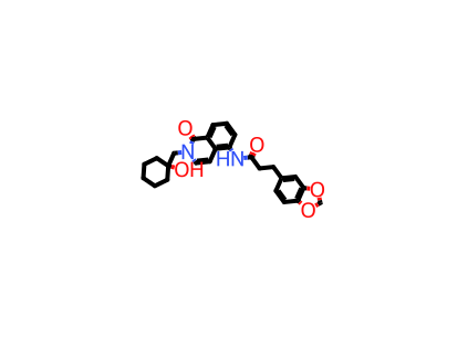 O=C(CCc1ccc2c(c1)OCO2)Nc1cccc2c(=O)n(CC3(O)CCCCC3)ccc12